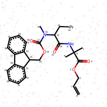 C=CCOC(=O)C(C)(C)NC(=O)C(CC(C)C)N(C)C(=O)OCC1c2ccccc2-c2ccccc21